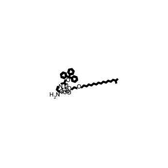 CC(C)CCCCCCCCCCCCCCOCCCOP(=O)(O)COC(COC(c1ccccc1)(c1ccccc1)c1ccccc1)CN1C=CC(N)OC1